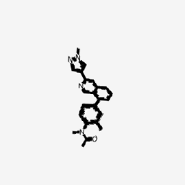 CC(=O)N(C)c1ccc(-c2cccc3cc(-c4cnn(C)c4)ncc23)cc1C